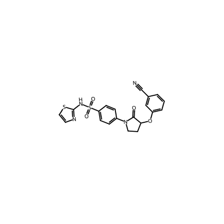 N#Cc1cccc(OC2CCN(c3ccc(S(=O)(=O)Nc4nccs4)cc3)C2=O)c1